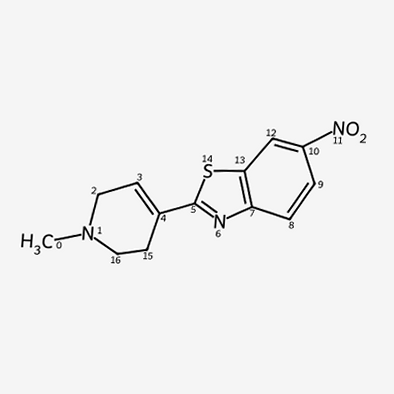 CN1CC=C(c2nc3ccc([N+](=O)[O-])cc3s2)CC1